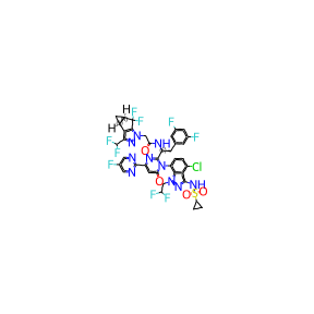 O=C(Cn1nc(C(F)F)c2c1C(F)(F)[C@@H]1C[C@H]21)N[C@@H](Cc1cc(F)cc(F)c1)c1nc(-c2ncc(F)cn2)cc(=O)n1-c1ccc(Cl)c2c(NS(=O)(=O)C3CC3)nn(CC(F)F)c12